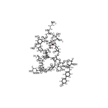 CN[C@H](CC(C)O)C(=O)N[C@H]1C(=O)N[C@@H](CC(N)=O)C(=O)N[C@H]2C(=O)N[C@H]3C(=O)N[C@H](C(=O)N[C@H](C(=O)OCC(=O)NCCCN)c4cc(O)ccc4-c4cc3ccc4C(O)O)[C@H](O[C@H]3C[C@](C)(N)[C@@H](O)[C@H](C)O3)c3ccc(c(Cl)c3)Oc3cc2cc(c3O[C@@H]2O[C@H](CO)[C@@H](O)[C@H](O)[C@H]2O[C@H]2C[C@](C)(NCc3ccc(-c4ccc(Cl)cc4)cc3)[C@@H](O)[C@H](C)O2)Oc2ccc(cc2Cl)[C@H]1O